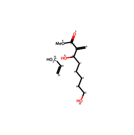 C=C(C(=O)OC)C(O)CCCCCO.C=CC(=O)O